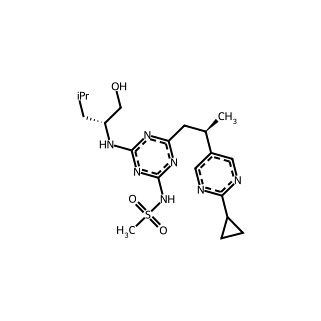 CC(C)C[C@H](CO)Nc1nc(C[C@@H](C)c2cnc(C3CC3)nc2)nc(NS(C)(=O)=O)n1